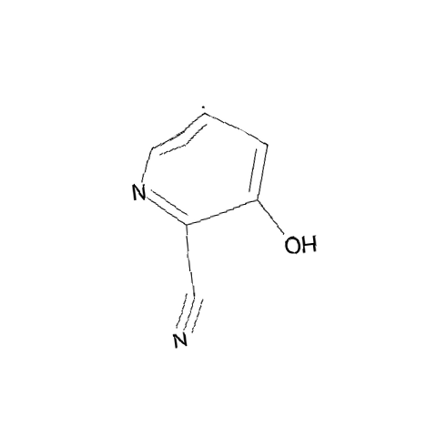 N#Cc1nc[c]cc1O